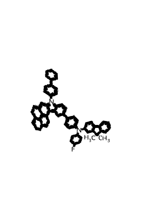 CC1(C)c2ccccc2-c2ccc(N(c3ccc(F)cc3)c3ccc(-c4ccc5c(c4)c4c6ccc7cccc8ccc(cc4n5-c4ccc(-c5ccccc5)cc4)c6c87)cc3)cc21